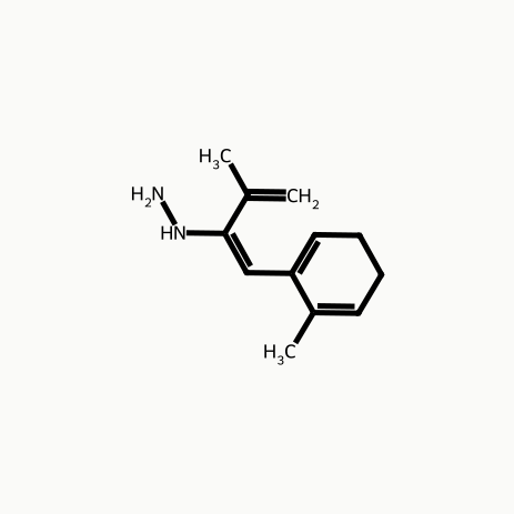 C=C(C)/C(=C\C1=CCCC=C1C)NN